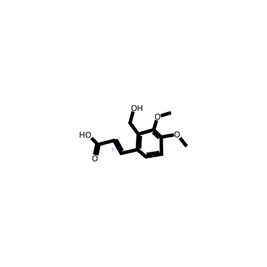 COc1ccc(/C=C/C(=O)O)c(CO)c1OC